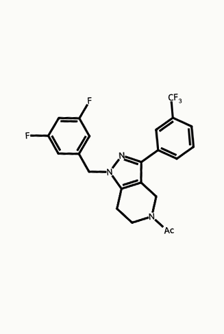 CC(=O)N1CCc2c(c(-c3cccc(C(F)(F)F)c3)nn2Cc2cc(F)cc(F)c2)C1